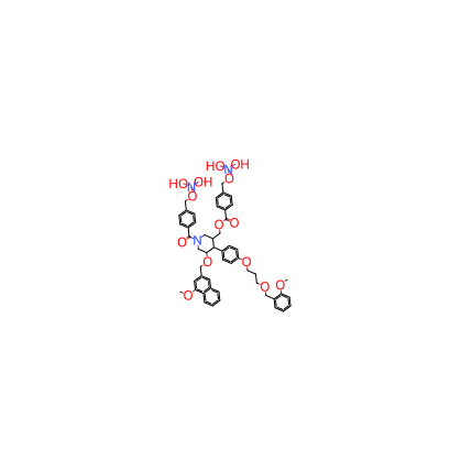 COc1ccccc1COCCCOc1ccc(C2C(COC(=O)c3ccc(CON(O)O)cc3)CN(C(=O)c3ccc(CON(O)O)cc3)CC2OCc2cc(OC)c3ccccc3c2)cc1